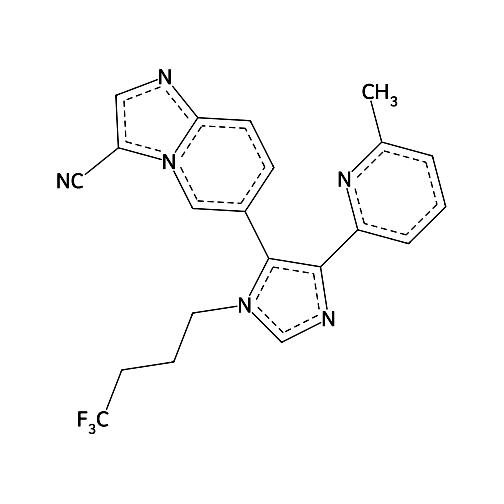 Cc1cccc(-c2ncn(CCCC(F)(F)F)c2-c2ccc3ncc(C#N)n3c2)n1